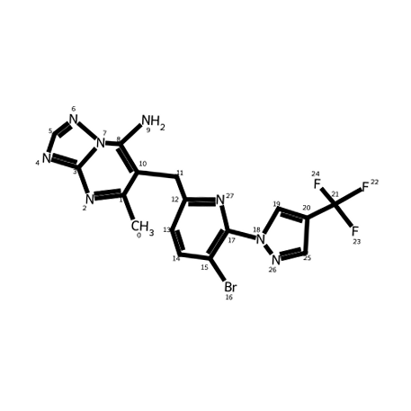 Cc1nc2ncnn2c(N)c1Cc1ccc(Br)c(-n2cc(C(F)(F)F)cn2)n1